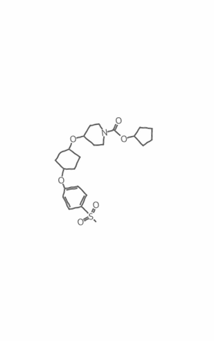 CS(=O)(=O)c1ccc(OC2CCC(OC3CCN(C(=O)OC4CCCC4)CC3)CC2)cc1